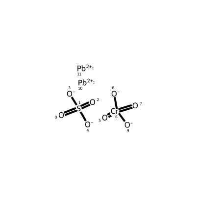 O=S(=O)([O-])[O-].[O]=[Cr](=[O])([O-])[O-].[Pb+2].[Pb+2]